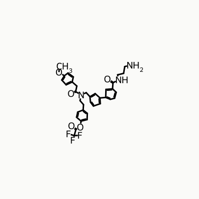 COc1ccc(CC(=O)N(CCc2ccc(OC(=O)C(F)(F)F)cc2)Cc2cccc(-c3cccc(C(=O)NCCCN)c3)c2)cc1